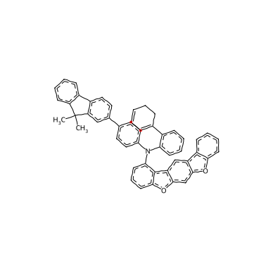 CC1(C)c2ccccc2-c2ccc(-c3ccc(N(c4ccccc4C4=CC=CCC4)c4cccc5oc6cc7oc8ccccc8c7cc6c45)cc3)cc21